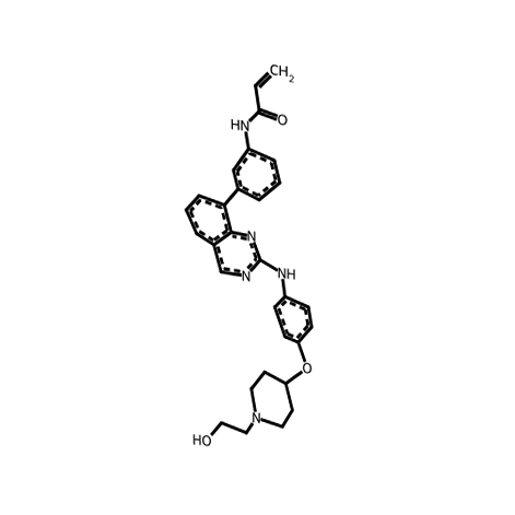 C=CC(=O)Nc1cccc(-c2cccc3cnc(Nc4ccc(OC5CCN(CCO)CC5)cc4)nc23)c1